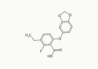 CCc1ccc(Oc2ccc3c(c2)OCO3)c(C(=O)O)c1F